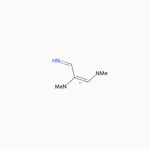 CN/C=C(\C=N)NC